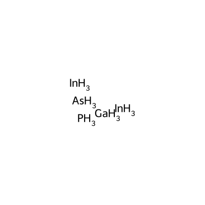 P.[AsH3].[GaH3].[InH3].[InH3]